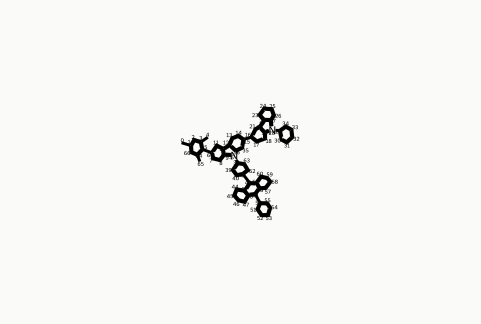 Cc1cc(C)c(-c2ccc3c(c2)c2ccc(-c4ccc5c(c4)c4ccccc4n5-c4ccccc4)cc2n3-c2ccc(-c3c4ccccc4c(-c4ccccc4)c4ccccc34)cc2)c(C)c1